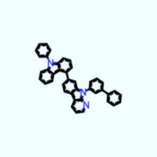 c1ccc(-c2cccc(-n3c4cc(-c5cccc6c5c5ccccc5n6-c5ccccc5)ccc4c4cccnc43)c2)cc1